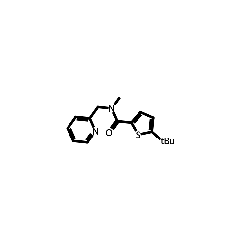 CN(Cc1ccccn1)C(=O)c1ccc(C(C)(C)C)s1